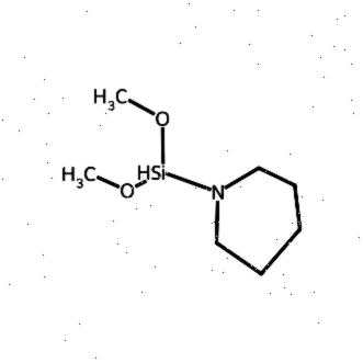 CO[SiH](OC)N1CCCCC1